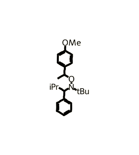 COc1ccc(C(C)ON(C(c2ccccc2)C(C)C)C(C)(C)C)cc1